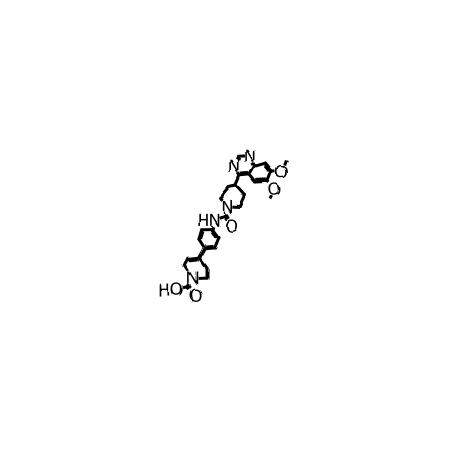 COc1cc2ncnc(C3CCN(C(=O)Nc4ccc(C5=CCN(C(=O)O)CC5)cc4)CC3)c2cc1OC